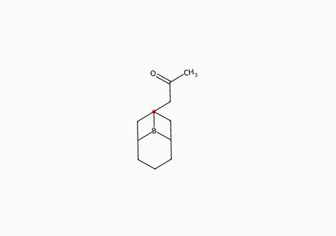 CC(=O)CCB1C2CCCC1CCC2